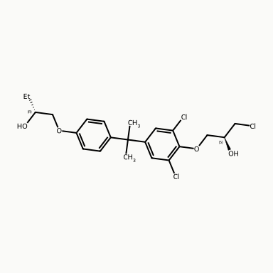 CC[C@@H](O)COc1ccc(C(C)(C)c2cc(Cl)c(OC[C@H](O)CCl)c(Cl)c2)cc1